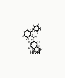 c1ccc(-n2ccnc2)c(Cc2ccc3[nH]nnc3c2)c1